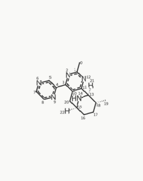 Cc1nc(-c2cnccn2)c2c(n1)[C@@H]1N[C@@H](CC[C@H]1C)C2